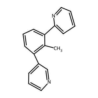 Cc1c(-c2cccnc2)cccc1-c1ccccn1